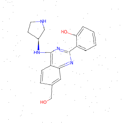 OCc1ccc2c(N[C@H]3CCNC3)nc(-c3ccccc3O)nc2c1